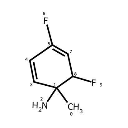 CC1(N)C=CC(F)=CC1F